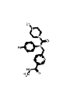 CCN1CCN(C(=O)N(Cc2ccc(C(=O)NN)cn2)c2ccc(F)cc2)CC1